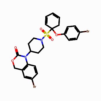 O=C1OCc2cc(Br)ccc2N1C1CCN(S(=O)(=O)C2(Oc3ccc(Br)cc3)C=CC=CC2)CC1